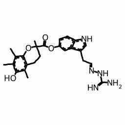 Cc1c(C)c2c(c(C)c1O)CCC(C)(C(=O)Oc1ccc3[nH]cc(CC=NNC(=N)N)c3c1)O2